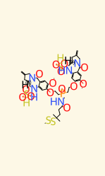 C=C1C[C@@H]2C(O[SH](=O)=O)Nc3cc(OCCP(=O)(CCOc4cc5c(cc4OC)C(=O)N4CC(=C)C[C@H]4C(O[SH](=O)=O)N5)CNC(=O)CCC(C)(C)SSC)c(OC)cc3C(=O)N2C1